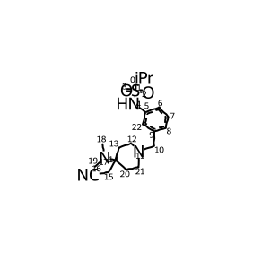 CC(C)S(=O)(=O)Nc1cccc(CN2CCC(CC#N)(N(C)C)CC2)c1